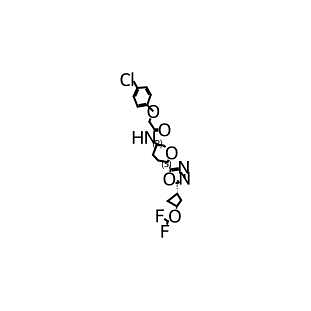 O=C(COc1ccc(Cl)cc1)N[C@@H]1CC[C@@H](c2nnc([C@H]3C[C@@H](OC(F)F)C3)o2)OC1